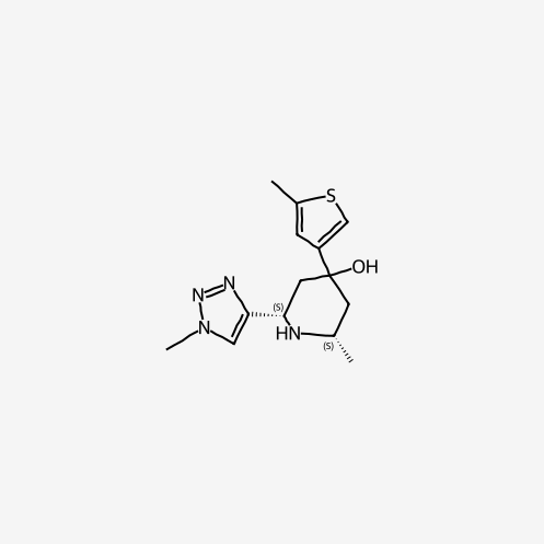 Cc1cc(C2(O)C[C@@H](c3cn(C)nn3)N[C@@H](C)C2)cs1